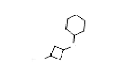 CC1CC(OC2CCCCC2)C1